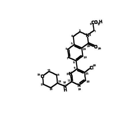 O=C(O)CN1CCc2ccc(-c3nc(NC4CCOCC4)ncc3Cl)cc2C1=O